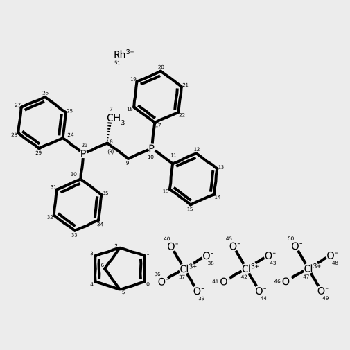 C1=CC2C=CC1C2.C[C@H](CP(c1ccccc1)c1ccccc1)P(c1ccccc1)c1ccccc1.[O-][Cl+3]([O-])([O-])[O-].[O-][Cl+3]([O-])([O-])[O-].[O-][Cl+3]([O-])([O-])[O-].[Rh+3]